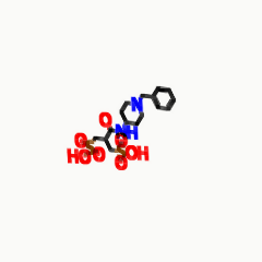 O=C(NC1CCN(Cc2ccccc2)CC1)C(CS(=O)(=O)O)CS(=O)(=O)O